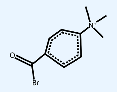 C[N+](C)(C)c1ccc(C(=O)Br)cc1